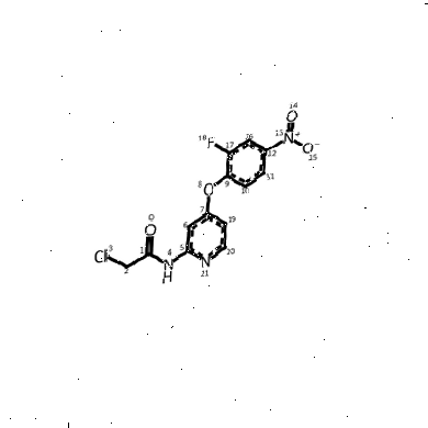 O=C(CCl)Nc1cc(Oc2ccc([N+](=O)[O-])cc2F)ccn1